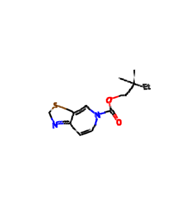 CCC(C)(C)COC(=O)N1C=CC2=NCSC2=C1